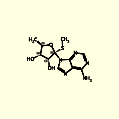 CS[C@@]1(n2cnc3c(N)ncnc32)O[C@H](C)[C@@H](O)[C@H]1O